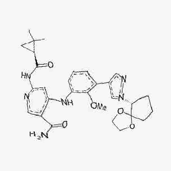 COc1c(Nc2cc(NC(=O)[C@H]3CC3(C)C)ncc2C(N)=O)cccc1-c1cnn([C@@H]2CCCC23OCCO3)c1